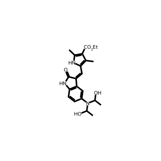 CCOC(=O)c1c(C)[nH]c(C=C2C(=O)Nc3ccc(N(C(C)O)C(C)O)cc32)c1C